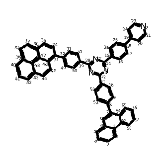 c1ccc2c(c1)cc(-c1ccc(-c3nc(-c4ccc(-c5ccncc5)cc4)nc(-c4ccc(-c5ccc6ccc7cccc8ccc5c6c78)cc4)n3)cc1)c1ccccc12